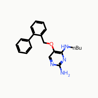 CCCCNc1nc(N)ncc1OCc1ccccc1-c1ccccc1